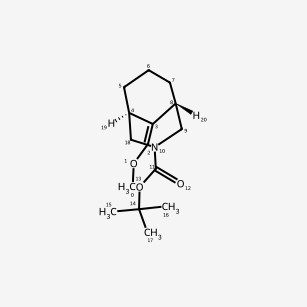 COC=C1[C@@H]2CCC[C@@H]1CN(C(=O)OC(C)(C)C)C2